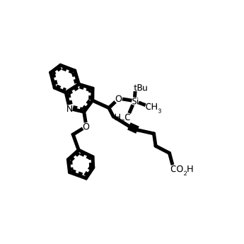 CC(C)(C)[Si](C)(C)OC(CC#CCCCC(=O)O)c1cc2ccccc2nc1OCc1ccccc1